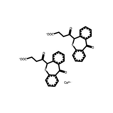 O=C([O-])CCC(=O)C1Sc2ccccc2C(=O)c2ccccc21.O=C([O-])CCC(=O)C1Sc2ccccc2C(=O)c2ccccc21.[Cu+2]